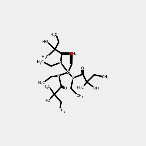 C=C[Si](N(CC)C(=O)C(C)(O)CC)(N(CC)C(=O)C(C)(O)CC)N(CC)C(=O)C(C)(O)CC